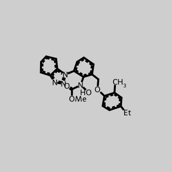 CCc1ccc(OCc2cccc(-n3nnc4ccccc43)c2N(O)C(=O)OC)c(C)c1